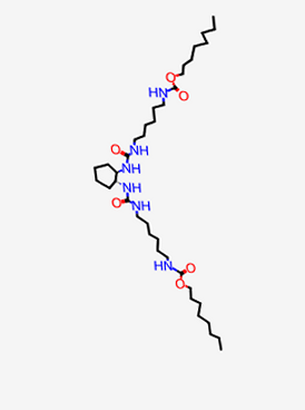 CCCCCCCCOC(=O)NCCCCCCNC(=O)N[C@@H]1CCCC[C@H]1NC(=O)NCCCCCCNC(=O)OCCCCCCCC